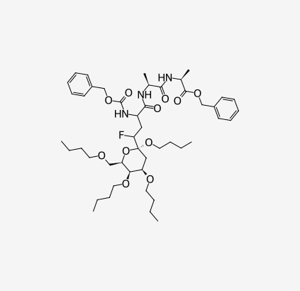 CCCCOC[C@H]1O[C@@](OCCCC)(C(F)CC(NC(=O)OCc2ccccc2)C(=O)N[C@@H](C)C(=O)N[C@@H](C)C(=O)OCc2ccccc2)C[C@@H](OCCCC)[C@H]1OCCCC